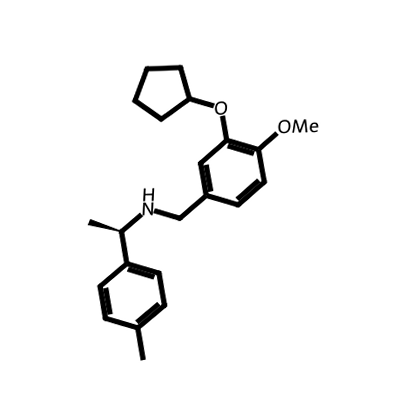 COc1ccc(CN[C@H](C)c2ccc(C)cc2)cc1OC1CCCC1